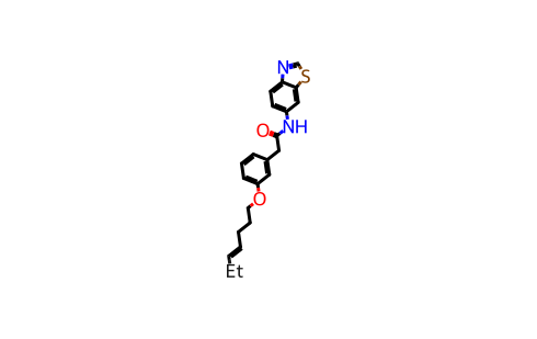 CC/C=C/CCCOc1cccc(CC(=O)Nc2ccc3ncsc3c2)c1